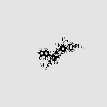 C=CCn1c(=O)c2cnc(Nc3ccc(N4CCN(C)CC4)c(C)c3)nc2n1-c1ccc2c(c1)C(C)CC2